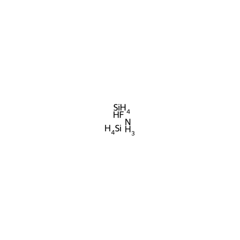 F.N.[SiH4].[SiH4]